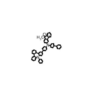 CC1(C)c2ccccc2-c2cc(N(c3ccc(-c4ccccc4)cc3)c3ccc(-c4ccc5c(c4)-c4ccccc4-c4ccccc4N5c4ccccc4)cc3)ccc21